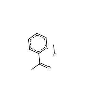 CC(=O)c1ccccn1.CCl